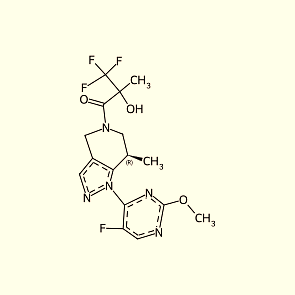 COc1ncc(F)c(-n2ncc3c2[C@H](C)CN(C(=O)C(C)(O)C(F)(F)F)C3)n1